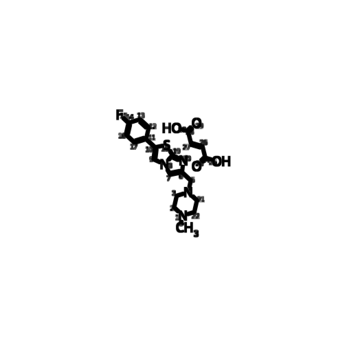 CN1CCN(Cc2cn3cc(-c4ccc(F)cc4)sc3n2)CC1.O=C(O)C=CC(=O)O